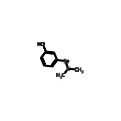 CN(C)[Se]c1cccc(O)c1